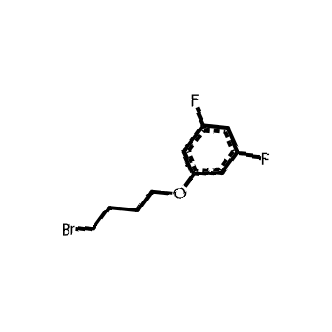 Fc1cc(F)cc(OCCCCBr)c1